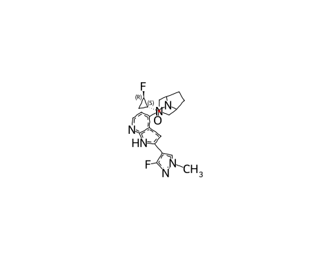 Cn1cc(-c2cc3c(N4CC5CCC(C4)N5C(=O)[C@@H]4C[C@H]4F)ccnc3[nH]2)c(F)n1